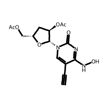 C#Cc1cn([C@@H]2O[C@H](COC(C)=O)C[C@H]2OC(C)=O)c(=O)nc1NO